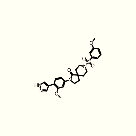 COc1cccc(S(=O)(=O)N2CCC3(CCN(c4ccc(-c5cn[nH]c5)c(OC)c4)C3=O)CC2)c1